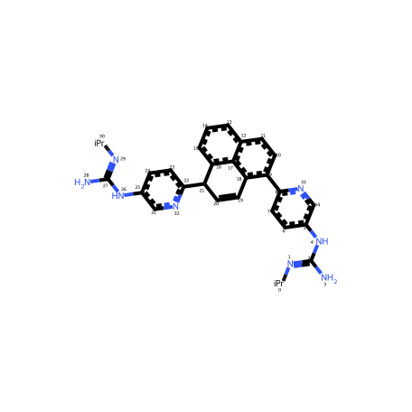 CC(C)N=C(N)Nc1ccc(-c2ccc3cccc4c3c2C=CC4c2ccc(NC(N)=NC(C)C)cn2)nc1